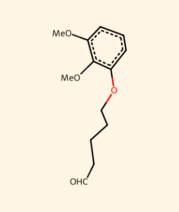 COc1cccc(OCCCCC=O)c1OC